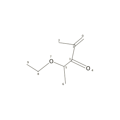 C=C(C)C(=O)C(C)OCC